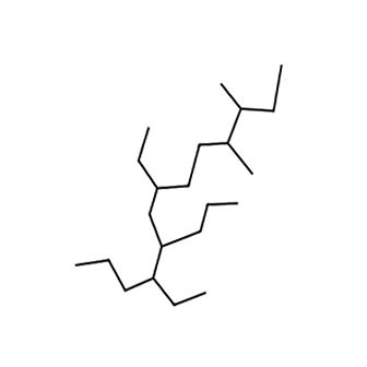 CCCC(CC)C(CCC)CC(CC)CCC(C)C(C)CC